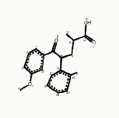 COc1cccc(C(=O)C(CC(C)C(=O)O)c2ccccc2C)c1